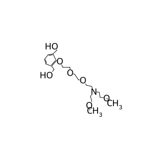 COCCN(CCOC)CCOCCOCCOc1c(CO)cccc1CO